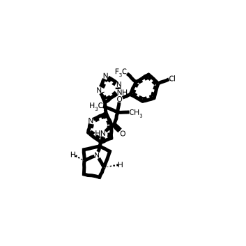 CC(C)(Oc1ccc(Cl)cc1C(F)(F)F)C(=O)N[C@H]1C[C@H]2CC[C@@H](C1)N2c1ccc(-c2nnn[nH]2)nc1